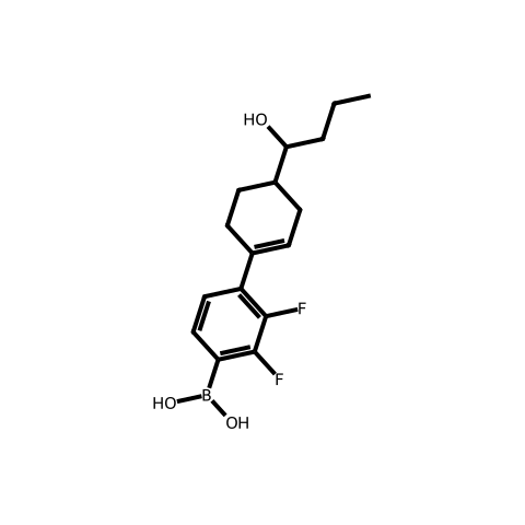 CCCC(O)C1CC=C(c2ccc(B(O)O)c(F)c2F)CC1